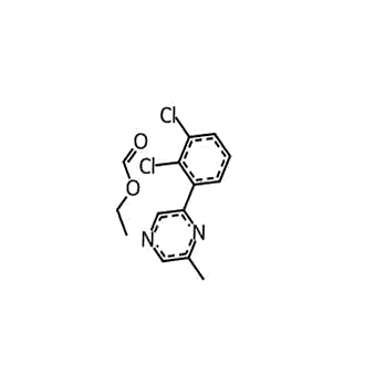 CCOC=O.Cc1cncc(-c2cccc(Cl)c2Cl)n1